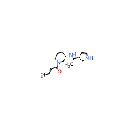 CC/C=C/C(=O)N1CCC[C@H](N/C(C)=C2\C=CNC2)C1